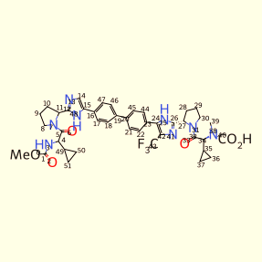 COC(=O)NC(C(=O)N1CCCC1c1ncc(-c2ccc(-c3ccc(-c4[nH]c([C@@H]5CCCN5C(=O)[C@H](C5CC5)N(C)C(=O)O)nc4C(F)(F)F)cc3)cc2)[nH]1)C1CC1